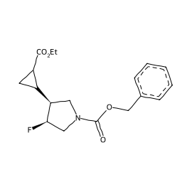 CCOC(=O)C1CC1[C@H]1CN(C(=O)OCc2ccccc2)C[C@H]1F